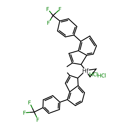 CC1=Cc2c(-c3ccc(C(F)(F)F)cc3)cccc2[CH]1[Hf]1([CH]2C(C)=Cc3c(-c4ccc(C(F)(F)F)cc4)cccc32)[CH2][CH2]1.Cl.Cl